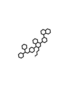 ICCCC1CC(C2CCCC(C3CCCC4CCCCC43)C2)C2CCCCC2C1C1CCC(CC(C2CCCCC2)C2CCCCC2)CC1